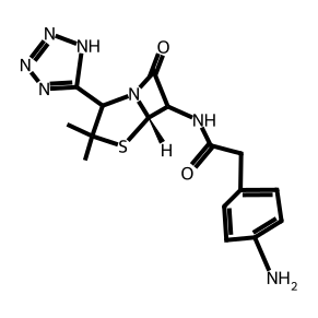 CC1(C)S[C@H]2C(NC(=O)Cc3ccc(N)cc3)C(=O)N2C1c1nnn[nH]1